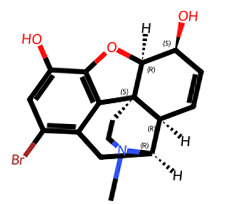 CN1CC[C@]23c4c5c(Br)cc(O)c4O[C@H]2[C@@H](O)C=C[C@H]3[C@H]1C5